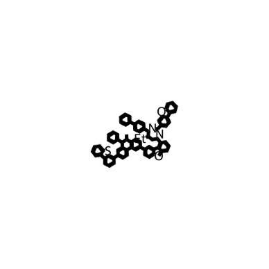 CCC1CC(c2cccc3oc4ccc(-c5ccc6c(c5)-c5ccc(-c7cccc8c7sc7ccccc78)cc5C(c5ccccc5)C6C)cc4c23)=NC(c2ccc3c(c2)oc2ccccc23)=NC1c1ccc(-c2ccccc2)cc1